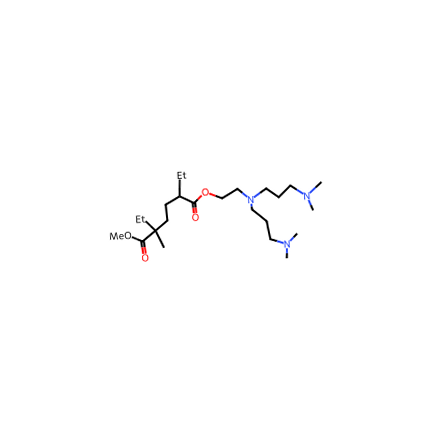 CCC(CCC(C)(CC)C(=O)OC)C(=O)OCCN(CCCN(C)C)CCCN(C)C